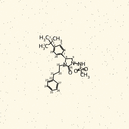 CC(C)(C)c1ccc([C@H]2CN(NS(C)(=O)=O)C(=O)N2CCCc2ccccc2)cc1